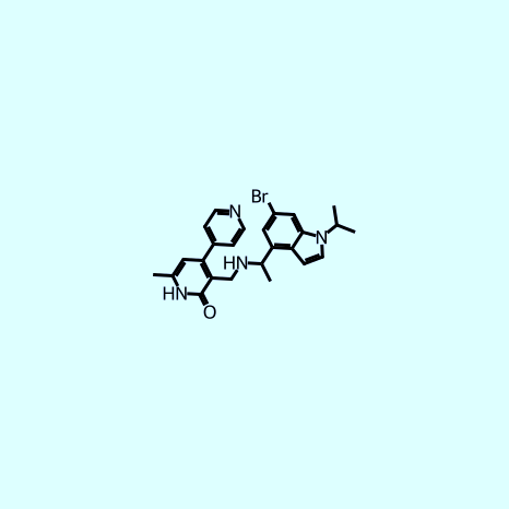 Cc1cc(-c2ccncc2)c(CNC(C)c2cc(Br)cc3c2ccn3C(C)C)c(=O)[nH]1